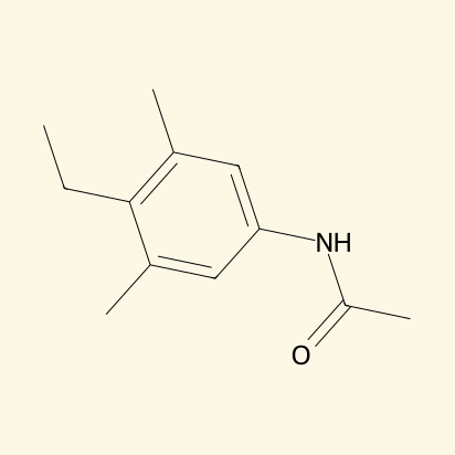 CCc1c(C)cc(NC(C)=O)cc1C